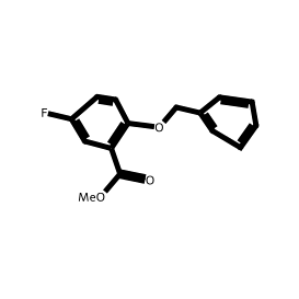 COC(=O)c1cc(F)ccc1OCc1ccccc1